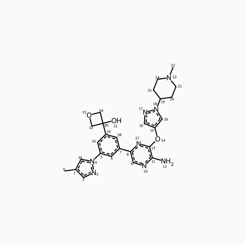 Cc1cnn(-c2cc(-c3cnc(N)c(Oc4cnn(C5CCN(C)CC5)c4)n3)cc(C3(O)COC3)c2)c1